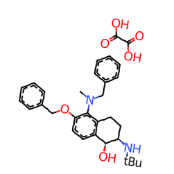 CN(Cc1ccccc1)c1c(OCc2ccccc2)ccc2c1CC[C@@H](NC(C)(C)C)[C@H]2O.O=C(O)C(=O)O